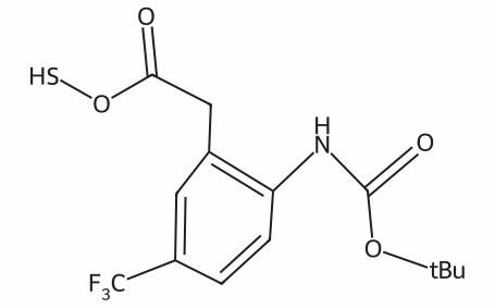 CC(C)(C)OC(=O)Nc1ccc(C(F)(F)F)cc1CC(=O)OS